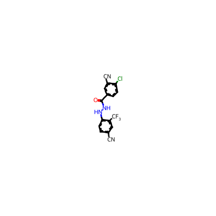 N#Cc1ccc(NNC(=O)c2ccc(Cl)c(C#N)c2)c(C(F)(F)F)c1